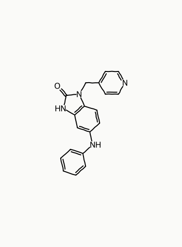 O=c1[nH]c2cc(Nc3ccccc3)ccc2n1Cc1ccncc1